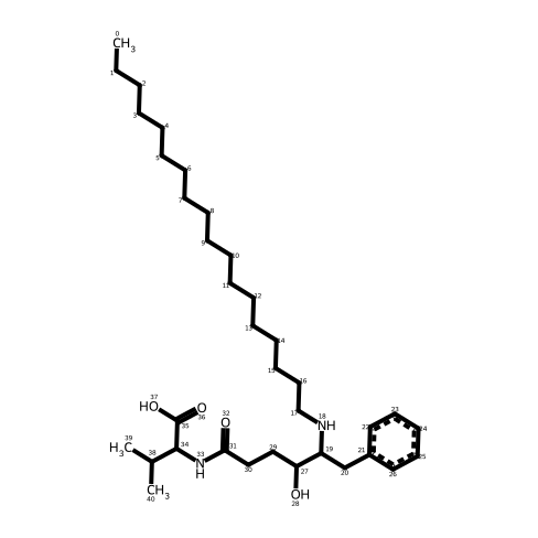 CCCCCCCCCCCCCCCCCCNC(Cc1ccccc1)C(O)CCC(=O)NC(C(=O)O)C(C)C